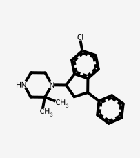 CC1(C)CNCCN1C1CC(c2ccccc2)c2ccc(Cl)cc21